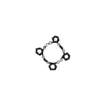 C1=Nc2ccccc2OCOc2ccccc2N=C=Nc2ccccc2OOc2ccccc2N=1